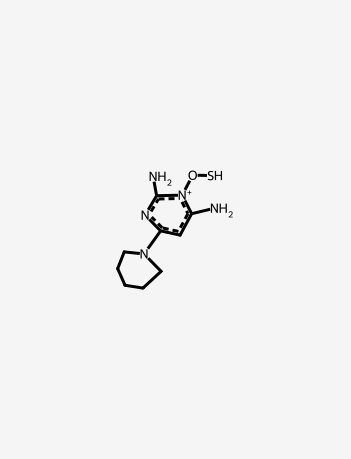 Nc1cc(N2CCCCC2)nc(N)[n+]1OS